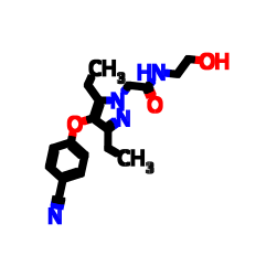 CCc1nn(CC(=O)NCCO)c(CC)c1Oc1ccc(C#N)cc1